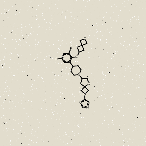 Fc1cc(F)c(OC2CC3(COC3)C2)c(C2CCN(C3COC4(C3)CN(c3nnco3)C4)CC2)c1